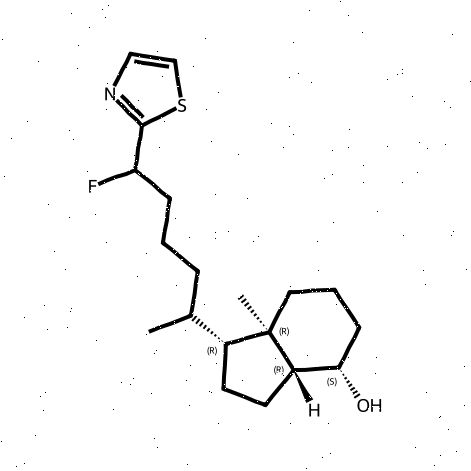 CC(CCCC(F)c1nccs1)[C@H]1CC[C@H]2[C@@H](O)CCC[C@]12C